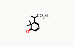 CCOC(=O)C(C)C1=CC=CC(=O)C1(C)C